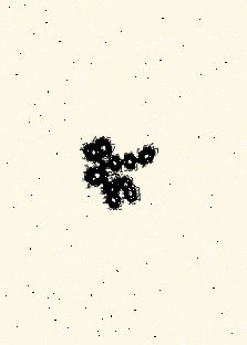 c1ccc(-c2ccc(-c3ccc(C(c4cccc(-c5cc6ccccc6c6c5oc5ccc7ccccc7c56)c4)c4cccc5ccccc45)cc3)cc2)cc1